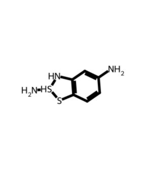 Nc1ccc2c(c1)N[SH](N)S2